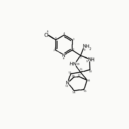 NC1(c2ccc(Cl)cn2)NCC2(CN3CCC2CC3)N1